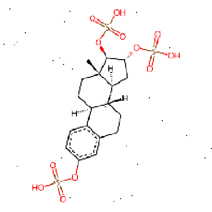 C[C@]12CC[C@@H]3c4ccc(OS(=O)(=O)O)cc4CC[C@H]3[C@@H]1C[C@@H](OS(=O)(=O)O)[C@@H]2OS(=O)(=O)O